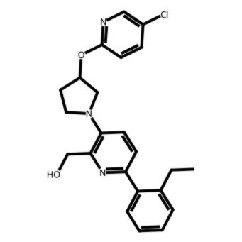 CCc1ccccc1-c1ccc(N2CCC(Oc3ccc(Cl)cn3)C2)c(CO)n1